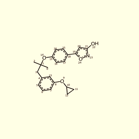 CC(C)(Cc1cccc(OC2CC2)c1)Oc1ccc(-c2cc(O)no2)cc1